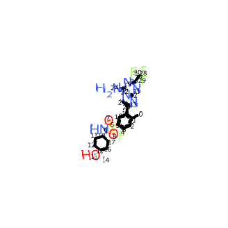 Cc1cc(F)c(S(=O)(=O)N[C@H]2CC[C@](C)(O)CC2)cc1-c1cn2c(N)nc(C(F)(F)F)nc2n1